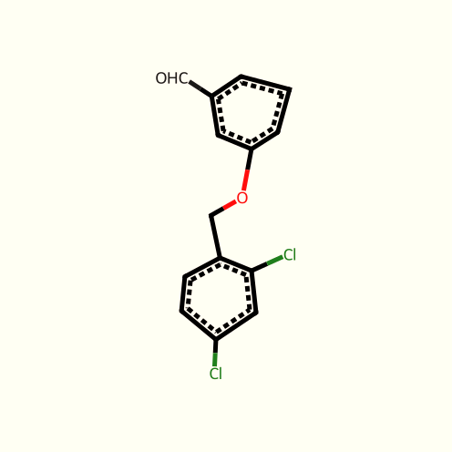 O=Cc1cccc(OCc2ccc(Cl)cc2Cl)c1